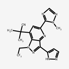 Cn1ncnc1-c1cc(C(C)(C)C#N)c2c(n1)c(-c1ccn[nH]1)nn2CC(F)(F)F